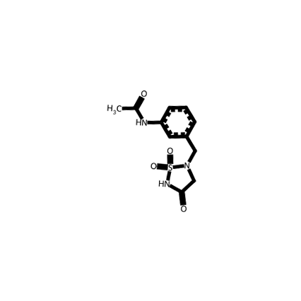 CC(=O)Nc1cccc(CN2CC(=O)NS2(=O)=O)c1